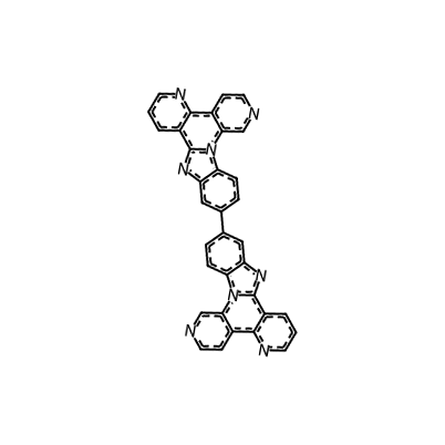 c1cnc2c3ccncc3n3c4ccc(-c5ccc6c(c5)nc5c7cccnc7c7ccncc7n65)cc4nc3c2c1